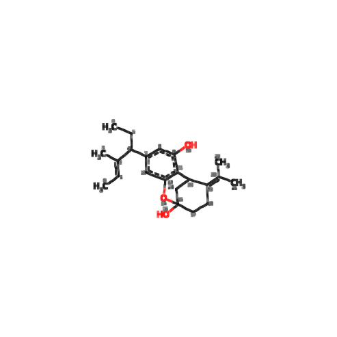 CC=C(C)C(CC)c1cc(O)c2c(c1)OC1(O)CCC(=C(C)C)C2C1